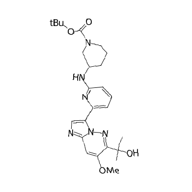 COc1cc2ncc(-c3cccc(NC4CCCN(C(=O)OC(C)(C)C)C4)n3)n2nc1C(C)(C)O